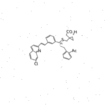 CC(=O)c1ccccc1CC[C@@H](SCC1(CC(=O)O)CC1)c1cccc(C=Cc2ccc3ccc(Cl)cc3n2)c1